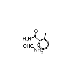 Cc1cccnc1C(N)=O.NC=O